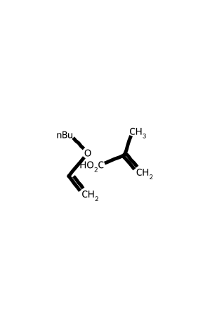 C=C(C)C(=O)O.C=COCCCC